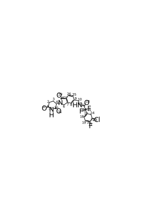 O=C1CCC(N2Cc3cc(CNC(=O)C(F)(F)C4=CC=C(F)C(Cl)C4)ccc3C2=O)C(=O)N1